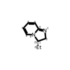 CC[C@H]1CN=C2C=CC=CN21